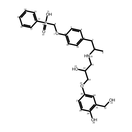 CC(Cc1ccc(OCP(=O)(O)c2ccccc2)cc1)NCC(O)COc1ccc(O)c(CO)c1